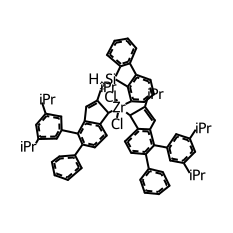 CC(C)C1=Cc2c(ccc(-c3ccccc3)c2-c2cc(C(C)C)cc(C(C)C)c2)[CH]1[Zr]([Cl])([Cl])([c]1cccc2c1[SiH2]c1ccccc1-2)[CH]1C(C(C)C)=Cc2c1ccc(-c1ccccc1)c2-c1cc(C(C)C)cc(C(C)C)c1